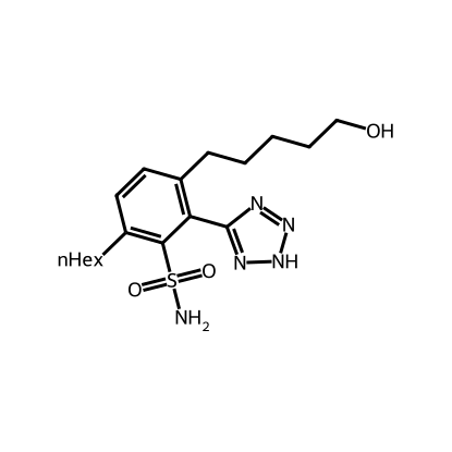 CCCCCCc1ccc(CCCCCO)c(-c2nn[nH]n2)c1S(N)(=O)=O